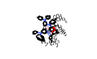 CC(C)(C)c1ccc(N2c3cc(N(c4ccccc4)c4ccccc4)ccc3B3c4ccc(N(c5ccccc5)c5ccccc5)cc4N(c4ccc(C(C)(C)C)cc4-c4cc(C(C)(C)C)cc(C(C)(C)C)c4)c4cccc2c43)cc1